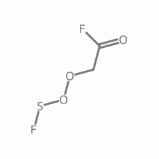 O=C(F)COOSF